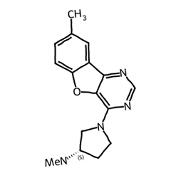 CN[C@H]1CCN(c2ncnc3c2oc2ccc(C)cc23)C1